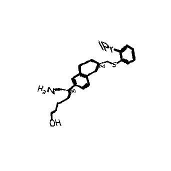 CC(C)c1ccccc1SC[C@@H]1CCc2cc([C@H](CN)CCCCO)ccc2C1